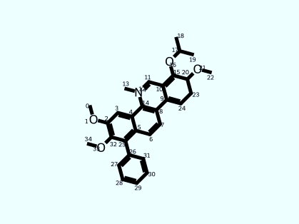 COc1cc2c(ccc3c4c(c[n+](C)c32)=C(OC(C)C)C(OC)CC=4)c(-c2ccccc2)c1OC